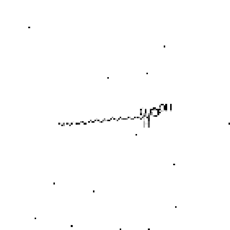 CCCCCCCCCCCCCCCCCCCCCCC(=O)Nc1ccc(O)cc1